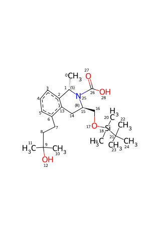 C[C@H]1c2cccc(CCC(C)(C)O)c2C[C@H](CO[Si](C)(C)C(C)(C)C)N1C(=O)O